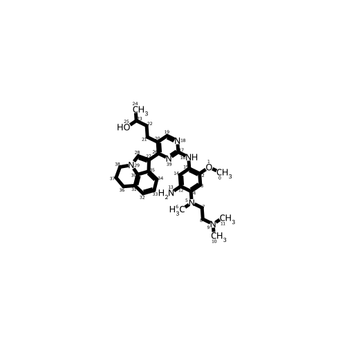 COc1cc(N(C)CCN(C)C)c(N)cc1Nc1ncc(CCC(C)O)c(-c2cn3c4c(cccc24)CCC3)n1